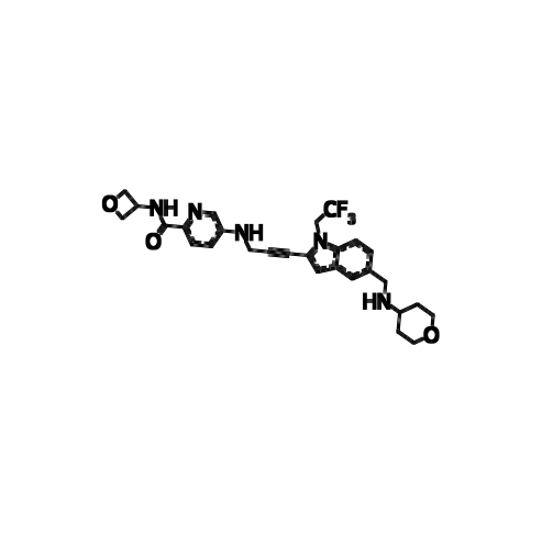 O=C(NC1COC1)c1ccc(NCC#Cc2cc3cc(CNC4CCOCC4)ccc3n2CC(F)(F)F)cn1